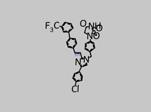 O=C1CN(c2ccc(Cn3cc(-c4ccc(Cl)cc4)nc3/C=C/c3ccc(-c4cccc(C(F)(F)F)c4)cc3)cc2)S(=O)(=O)N1